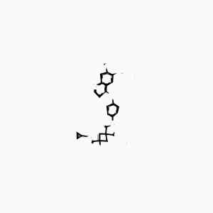 COc1cc2nccc(Oc3ccc(NC(=O)C4(C(C)C)CC(C)(C(=O)NC5CC5)C4)cc3)c2cc1OC